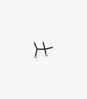 CCC(I)C(C)(I)CC